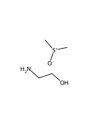 C[S+](C)[O-].NCCO